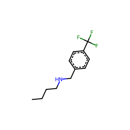 CCCCNCc1ccc(C(F)(F)F)cc1